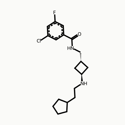 O=C(NC[C@H]1C[C@H](NCCC2CCCC2)C1)c1cc(F)cc(Cl)c1